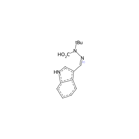 CC(C)(C)N(/N=C\c1c[nH]c2ccccc12)C(=O)O